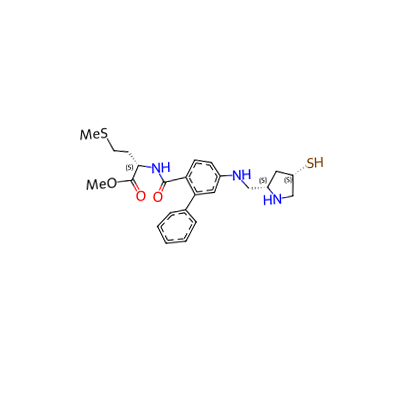 COC(=O)[C@H](CCSC)NC(=O)c1ccc(NC[C@@H]2C[C@H](S)CN2)cc1-c1ccccc1